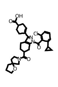 O=C(O)C1CC=C(c2nn(C(=O)c3c(Cl)cccc3C3CC3)c3c2CCC(C(=O)N2CCC4(CCCO4)C2)C3)CC1